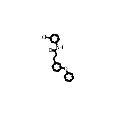 O=C(CCc1cccc(Oc2ccccc2)c1)Nc1cccc(Cl)c1